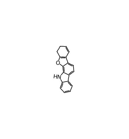 C1=Cc2c(oc3c2ccc2c4ccccc4[nH]c23)CC1